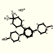 CCCCN1CCN(c2ccc(N3CCN(C(C)=O)CC3)cc2C2CCC(C)(C)CC2)CC1.Cl